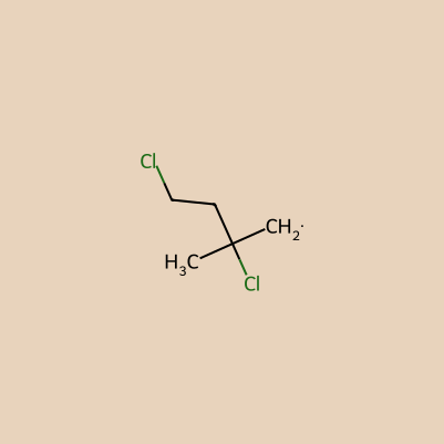 [CH2]C(C)(Cl)CCCl